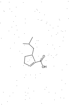 CC(C)CC1CCC=C1C(=O)O